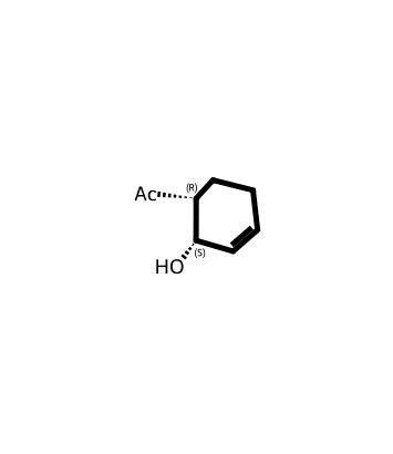 CC(=O)[C@@H]1CCC=C[C@@H]1O